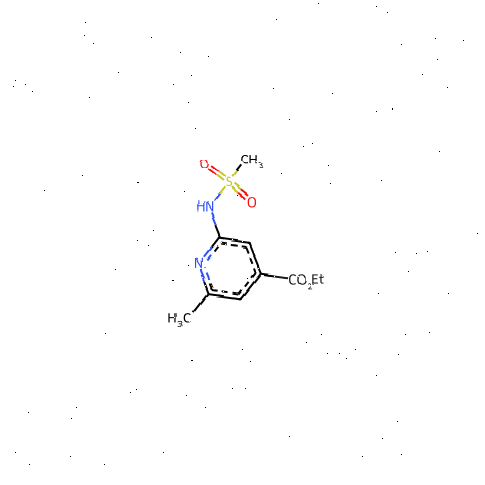 CCOC(=O)c1cc(C)nc(NS(C)(=O)=O)c1